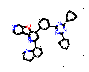 c1ccc(-c2nc(-c3ccccc3)nc(-c3cccc(-c4cc(-c5cccc6cccnc56)nc5c4oc4cnccc45)c3)n2)cc1